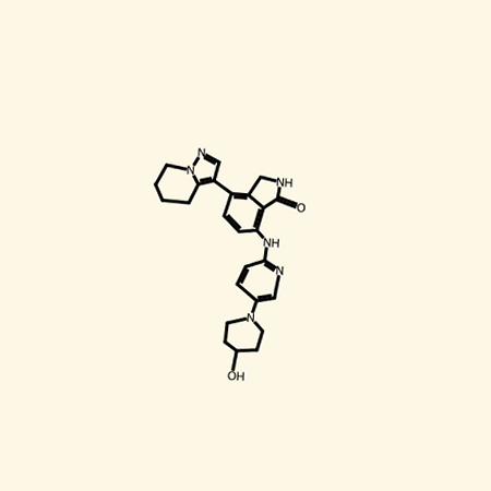 O=C1NCc2c(-c3cnn4c3CCCC4)ccc(Nc3ccc(N4CCC(O)CC4)cn3)c21